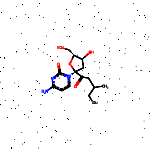 CC(CC(=O)[C@]1(n2ccc(N)nc2=O)C[C@H](O)[C@@H](CO)O1)CC(C)(C)C